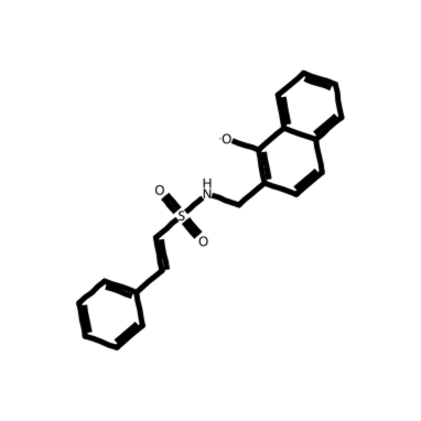 [O]c1c(CNS(=O)(=O)C=Cc2ccccc2)ccc2ccccc12